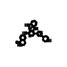 CC[C@]1(Nc2nc(Nc3ccc4c(c3)CCNC4=O)ncc2-c2cnn(C3CCNCC3)c2)C=CC=CC1O